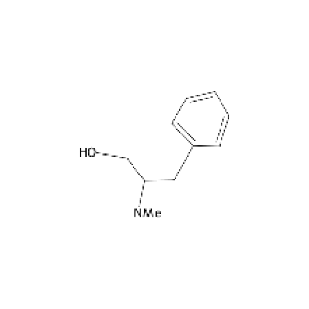 CNC(CO)Cc1ccccc1